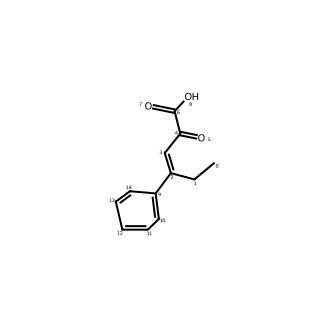 CCC(=CC(=O)C(=O)O)c1ccccc1